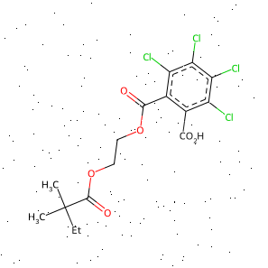 CCC(C)(C)C(=O)OCCOC(=O)c1c(Cl)c(Cl)c(Cl)c(Cl)c1C(=O)O